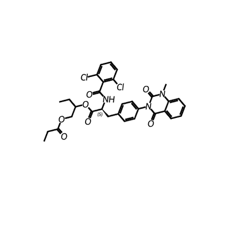 CCC(=O)OCC(CC)OC(=O)[C@H](Cc1ccc(-n2c(=O)c3ccccc3n(C)c2=O)cc1)NC(=O)c1c(Cl)cccc1Cl